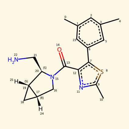 Cc1cc(C)cc(-c2sc(C)nc2C(=O)N2C[C@@H]3C[C@@H]3[C@H]2CN)c1